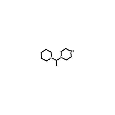 [CH2]C(N1CCCCC1)N1CCNCC1